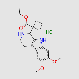 CCOC(=O)C1(C2NCCc3c2[nH]c2cc(OC)c(OC)cc32)CCC1.Cl